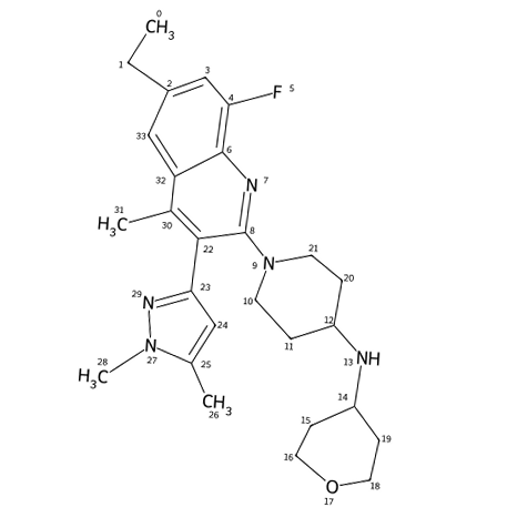 CCc1cc(F)c2nc(N3CCC(NC4CCOCC4)CC3)c(-c3cc(C)n(C)n3)c(C)c2c1